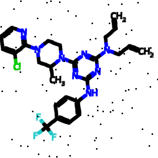 C=CCN(CC=C)c1nc(Nc2ccc(C(F)(F)F)cc2)nc(N2CCN(c3ncccc3Cl)CC2C)n1